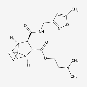 Cc1cc(CNC(=O)[C@H]2[C@H](C(=O)OCCN(C)C)[C@H]3CC[C@@H]2C32CC2)no1